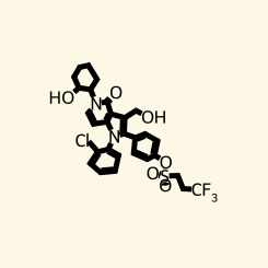 O=c1c2c(CO)c(-c3ccc(OS(=O)(=O)CCC(F)(F)F)cc3)n(-c3ccccc3Cl)c2ccn1C1CCCCC1O